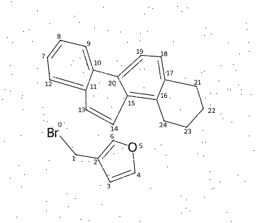 BrCc1ccoc1.c1ccc2c(c1)ccc1c3c(ccc12)CCCC3